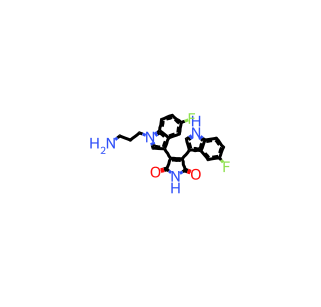 NCCCn1cc(C2=C(c3c[nH]c4ccc(F)cc34)C(=O)NC2=O)c2cc(F)ccc21